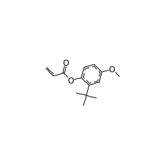 C=CC(=O)Oc1ccc(OC)cc1C(C)(C)C